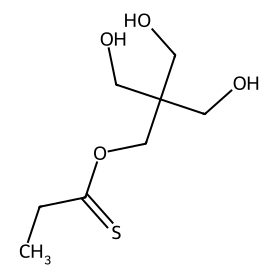 CCC(=S)OCC(CO)(CO)CO